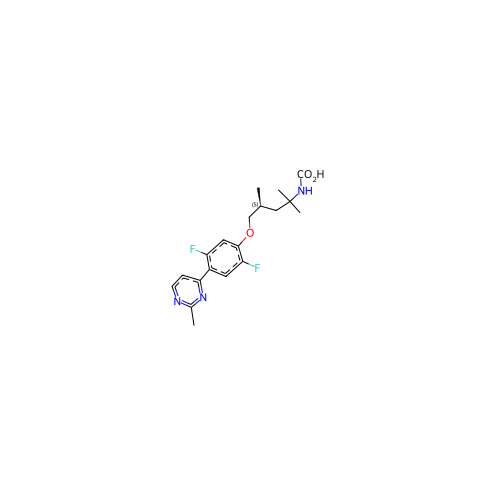 Cc1nccc(-c2cc(F)c(OC[C@@H](C)CC(C)(C)NC(=O)O)cc2F)n1